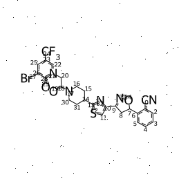 N#Cc1ccccc1C1CC(c2csc(C3CCN(C(=O)Cn4cc(C(F)(F)F)cc(Br)c4=O)CC3)n2)=NO1